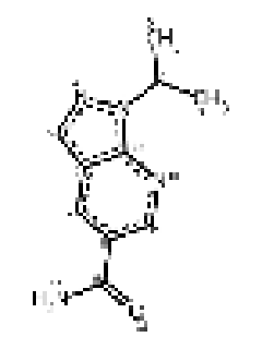 CC(C)n1ncc2cc(C(N)=O)cnc21